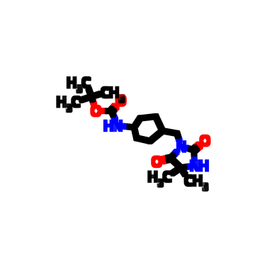 CC(C)(C)OC(=O)NC1CCC(CN2C(=O)NC(C)(C)C2=O)CC1